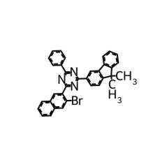 CC1(C)c2ccccc2-c2cc(-c3nc(-c4ccccc4)nc(-c4cc5ccccc5cc4Br)n3)ccc21